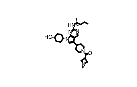 CCC[C@H](C)Nc1ncc2c(C3CCN(C(=O)C4CN(C)C4)CC3)cn([C@H]3CC[C@H](O)CC3)c2n1